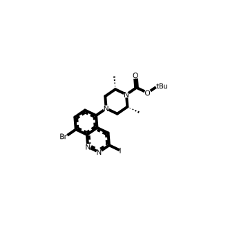 C[C@@H]1CN(c2ccc(Br)c3nnc(I)cc23)C[C@H](C)N1C(=O)OC(C)(C)C